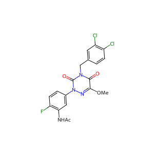 COc1nn(-c2ccc(F)c(NC(C)=O)c2)c(=O)n(Cc2ccc(Cl)c(Cl)c2)c1=O